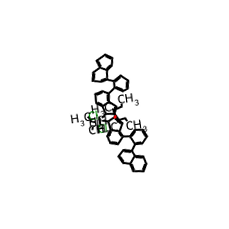 CCC(C)C1=Cc2c(-c3ccccc3-c3cccc4ccccc34)cccc2[CH]1[Hf]([Cl])([Cl])([CH]1C(C(C)CC)=Cc2c(-c3ccccc3-c3cccc4ccccc34)cccc21)[SiH](C)C